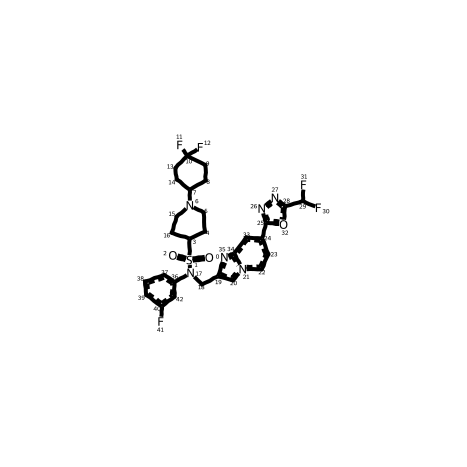 O=S(=O)(C1CCN(C2CCC(F)(F)CC2)CC1)N(Cc1cn2ccc(-c3nnc(C(F)F)o3)cc2n1)c1cccc(F)c1